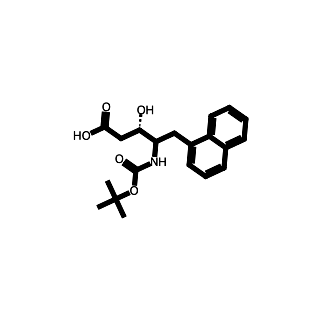 CC(C)(C)OC(=O)NC(Cc1cccc2ccccc12)[C@@H](O)CC(=O)O